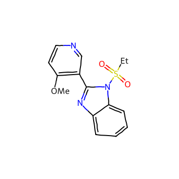 CCS(=O)(=O)n1c(-c2cnccc2OC)nc2ccccc21